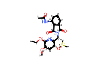 CCOc1nc([C@@H](C[S+](C)[O-])N2C(=O)c3cccc(NC(C)=O)c3C2=O)ccc1OC